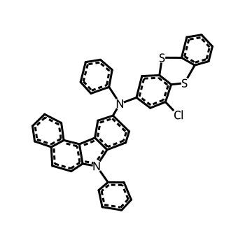 Clc1cc(N(c2ccccc2)c2ccc3c(c2)c2c4ccccc4ccc2n3-c2ccccc2)cc2c1Sc1ccccc1S2